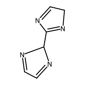 C1=NC(C2N=CC=N2)=NC1